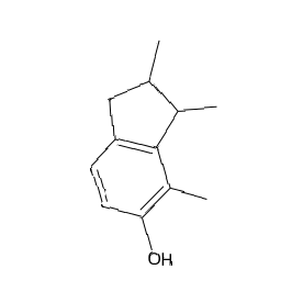 Cc1c(O)ccc2c1C(C)C(C)C2